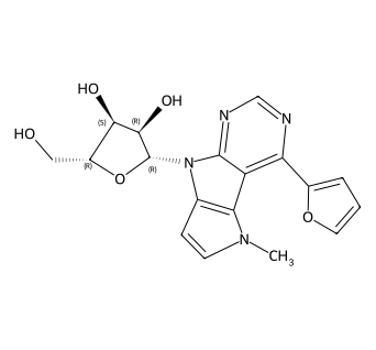 Cn1ccc2c1c1c(-c3ccco3)ncnc1n2[C@@H]1O[C@H](CO)[C@@H](O)[C@H]1O